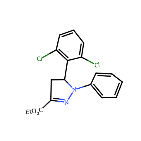 CCOC(=O)C1=NN(c2ccccc2)C(c2c(Cl)cccc2Cl)C1